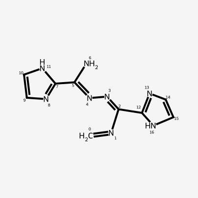 C=N/C(=N\N=C(/N)c1ncc[nH]1)c1ncc[nH]1